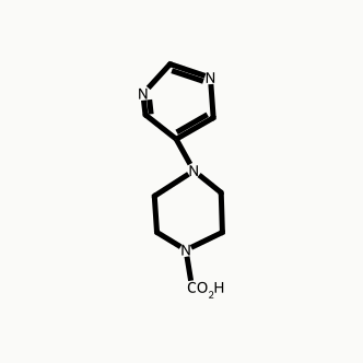 O=C(O)N1CCN(c2cncnc2)CC1